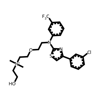 C[N+](C)(CCO)CCOCCN(c1cccc(C(F)(F)F)c1)c1nc(-c2cccc(Cl)c2)cs1